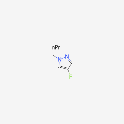 CCCCn1[c]c(F)cn1